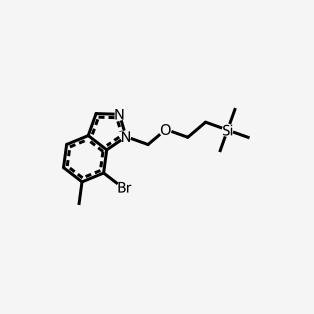 Cc1ccc2cnn(COCC[Si](C)(C)C)c2c1Br